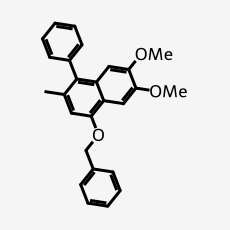 COc1cc2c(OCc3ccccc3)cc(C)c(-c3ccccc3)c2cc1OC